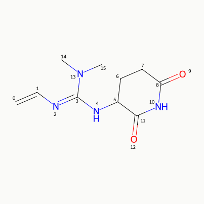 C=C/N=C(/NC1CCC(=O)NC1=O)N(C)C